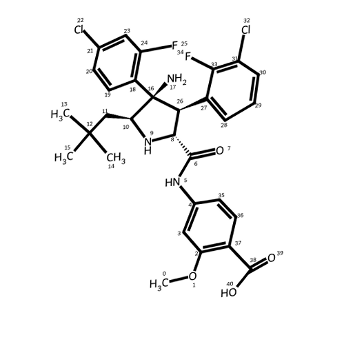 COc1cc(NC(=O)[C@@H]2N[C@@H](CC(C)(C)C)[C@](N)(c3ccc(Cl)cc3F)[C@H]2c2cccc(Cl)c2F)ccc1C(=O)O